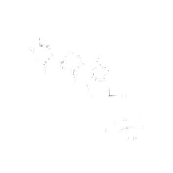 CC1(CO[Si](C)(C)C(C)(C)C)Cc2nnc(-c3ccc(-c4cc(Cl)ccc4F)cc3Cl)n2CCS1